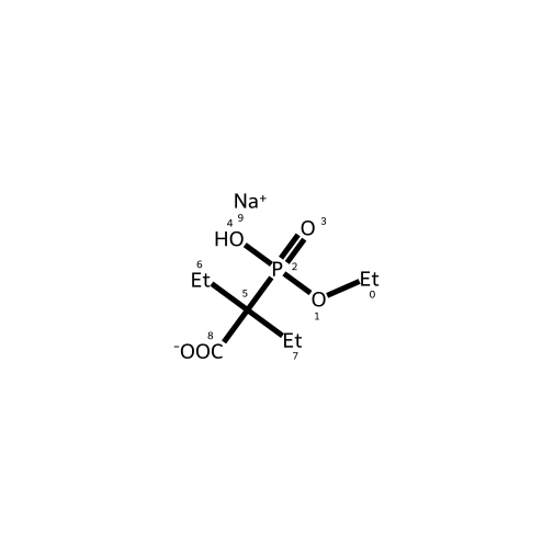 CCOP(=O)(O)C(CC)(CC)C(=O)[O-].[Na+]